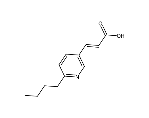 CCCCc1ccc(C=CC(=O)O)cn1